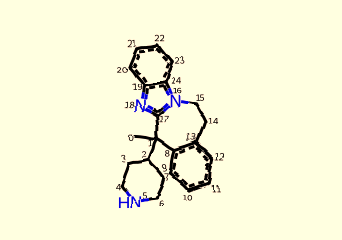 CC1(C2CCNCC2)c2ccccc2CCn2c1nc1ccccc12